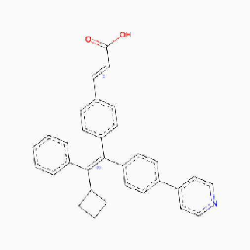 O=C(O)/C=C/c1ccc(/C(=C(\c2ccccc2)C2CCC2)c2ccc(-c3ccncc3)cc2)cc1